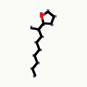 CCCCCCCC(C)C1CCCO1